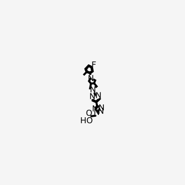 Cc1ccc(F)cc1N1CC2CN(c3ncc(-c4nnn(CC(=O)O)n4)cn3)CC2C1